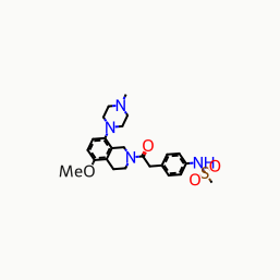 COc1ccc(N2CCN(C)CC2)c2c1CCN(C(=O)Cc1ccc(NS(C)(=O)=O)cc1)C2